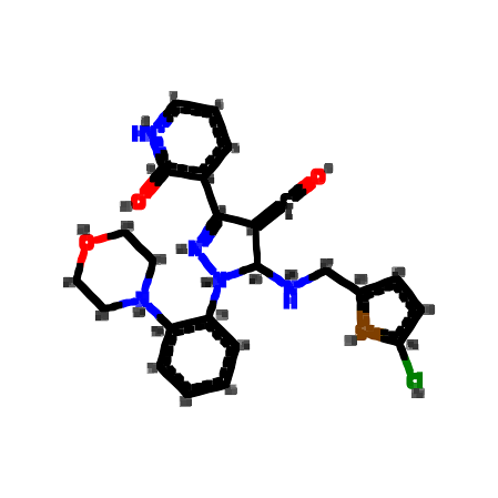 O=C=C1C(c2ccc[nH]c2=O)=NN(c2ccccc2N2CCOCC2)C1NCc1ccc(Cl)s1